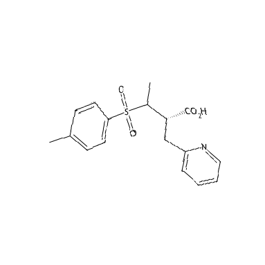 Cc1ccc(S(=O)(=O)C(C)[C@@H](Cc2ccccn2)C(=O)O)cc1